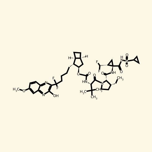 CC[C@@H]1CCN(C(=O)[C@@H](NC(=O)O[C@@H]2C[C@@H]3CC[C@@H]3[C@H]2CCCCC(F)(F)c2nc3ccc(OC)cc3nc2O)C(C)(C)C)[C@@H]1C(=O)N[C@]1(C(=O)NS(=O)(=O)C2CC2)C[C@H]1C(F)F